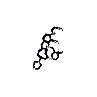 C=C1C(NCC2CNCCC2(F)F)=C(CC2=C/C=C(/N3CCOCC3)CC\C=C\2)C=CC1N/C=C\N